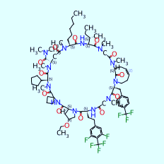 CCCCCC[C@H]1C(=O)N[C@@H]([C@@H](C)CC)C(=O)N(C)CC(=O)N(C)[C@H]2C/C=C\CCN(C2=O)[C@@H](Cc2ccc(C(F)(F)F)cc2)C(=O)N(C)CC(=O)N[C@@H](CCc2cc(F)c(C(F)(F)F)c(F)c2)C(=O)N2C[C@H](OCC)C[C@H]2C(=O)NC2(CCC2)C(=O)N(C)[C@@H](C2CCCC2)C(=O)N(C)[C@H](C(=O)N(C)C)CC(=O)N1C